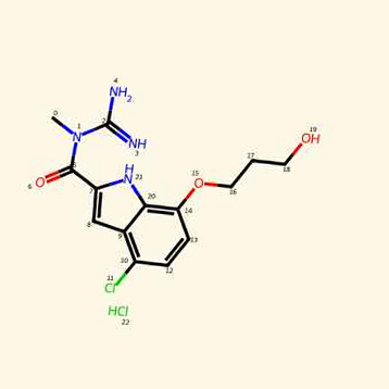 CN(C(=N)N)C(=O)c1cc2c(Cl)ccc(OCCCO)c2[nH]1.Cl